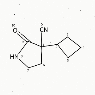 N#CC1(C2CCC2)CCNC1=O